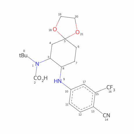 CC(C)(C)N(C(=O)O)C1CC2(CCC1Nc1ccc(C#N)c(C(F)(F)F)c1)OCCO2